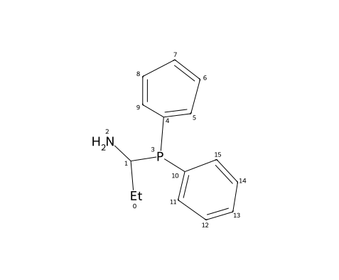 CCC(N)P(c1ccccc1)c1ccccc1